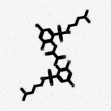 CN(C)CCCNS(=O)(=O)c1cc(Cl)cc(Cl)c1OC(=O)C(=O)Oc1c(Cl)cc(Cl)cc1S(=O)(=O)NCCCN(C)C